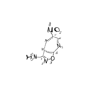 Nc1noc2ncc([N+](=O)[O-])cc12